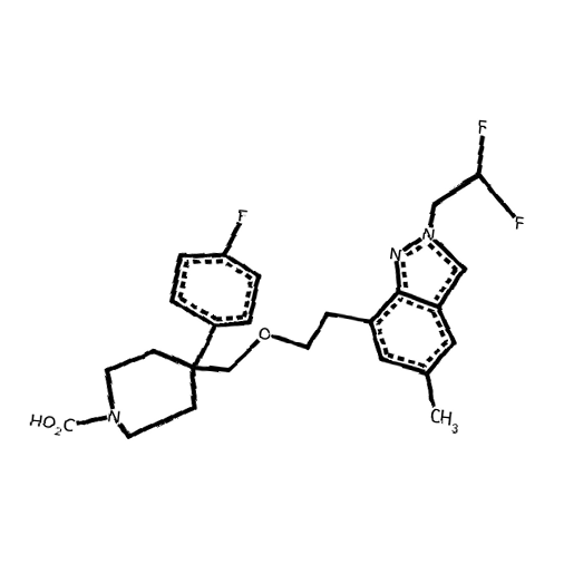 Cc1cc(CCOCC2(c3ccc(F)cc3)CCN(C(=O)O)CC2)c2nn(CC(F)F)cc2c1